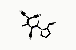 CC(=C(C#N)C#N)/C(C#N)=C(\C)N1CCCC1C=O